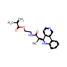 C=C(C)C(=O)OCCNC(=O)/C(C#N)=C1/Nc2ccccc2-c2cnccc21